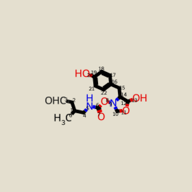 CC(CC=O)CNC(=O)ON1COC(O)C1Cc1ccc(O)cc1